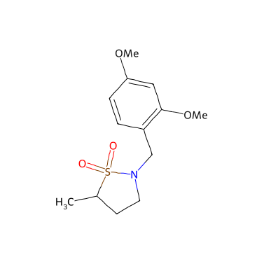 COc1ccc(CN2CCC(C)S2(=O)=O)c(OC)c1